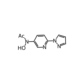 CC(=O)N(O)c1ccc(-n2cccn2)nc1